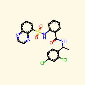 CC(NC(=O)c1ccccc1NS(=O)(=O)c1cccc2nccnc12)c1ccc(Cl)cc1Cl